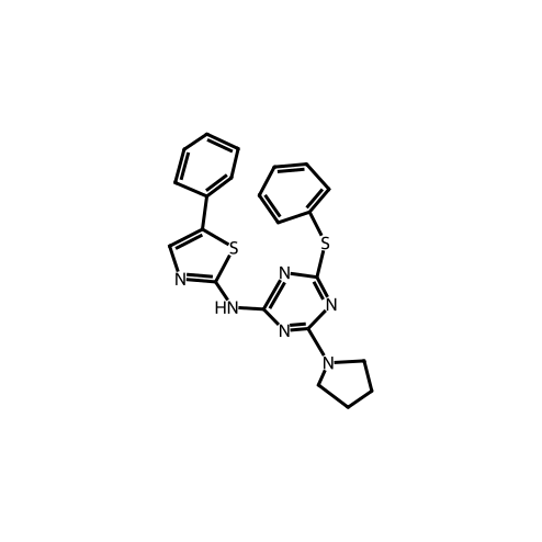 c1ccc(Sc2nc(Nc3ncc(-c4ccccc4)s3)nc(N3CCCC3)n2)cc1